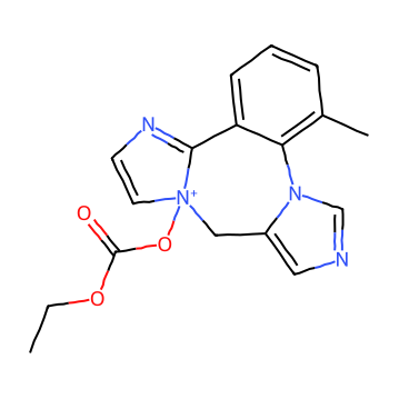 CCOC(=O)O[N+]12C=CN=C1c1cccc(C)c1-n1cncc1C2